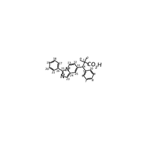 CC(C)(C(=O)O)C(c1ccccc1)c1ccn2c(-c3ccccc3)ncc2c1